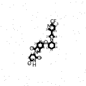 O=C1CC[C@@H](N2Cc3cc(O[C@@H]4CCCC[C@H]4N4CC(c5ccc(C(F)(F)F)nc5)C4)ccc3C2=O)C(=O)N1